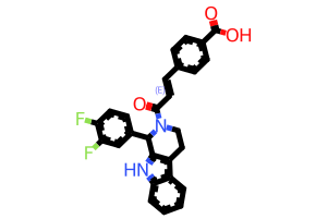 O=C(O)c1ccc(/C=C/C(=O)N2CCc3c([nH]c4ccccc34)C2c2ccc(F)c(F)c2)cc1